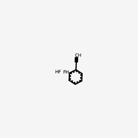 C#Cc1ccccc1.F.F